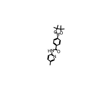 Cc1ccc(NC(=O)c2ccc(B3OC(C)(C)C(C)(C)O3)cc2)nc1